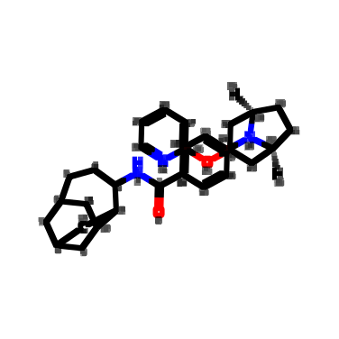 O=C(NC1CCC2CC3CC(C2)C1C3)c1ccc(N2[C@@H]3CC[C@H]2CC(Oc2ccccn2)C3)cc1